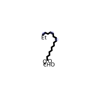 CC/C=C\C/C=C\C/C=C\CCCCCCCC(=O)OC=O